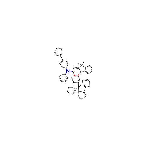 CC1(C)c2ccccc2-c2ccc(N(c3ccc(-c4ccccc4)cc3)c3ccccc3-c3cccc4c3C3=CCCC=C3C43C4=C(CCC=C4)c4ccccc43)cc21